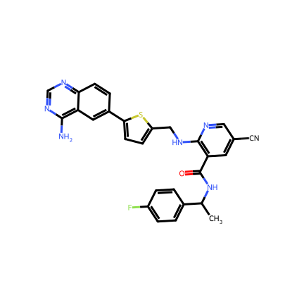 CC(NC(=O)c1cc(C#N)cnc1NCc1ccc(-c2ccc3ncnc(N)c3c2)s1)c1ccc(F)cc1